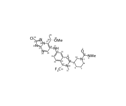 CNC(=O)N1CCCC(C(=O)N(C)[C@@H](c2ccc(Nc3cnc4nc(Cl)nn4c3[C@H](C)OC)cc2)C(F)(F)F)C1